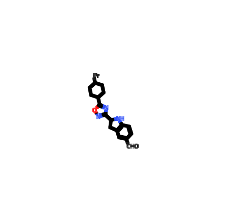 CC(C)C1CCC(c2nc(C3Cc4cc(C=O)ccc4N3)no2)CC1